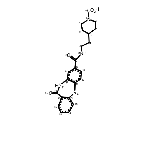 O=C(NCCC1CCN(C(=O)O)CC1)c1ccc2c(c1)NC(=O)c1ccccc1S2